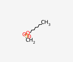 C=CS(=O)(=O)OCCCCCCCC